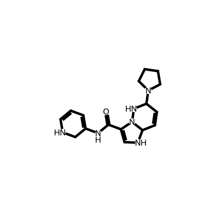 O=C(NC1=CC=CNC1)C1=CNC2C=CC(N3CCCC3)NN12